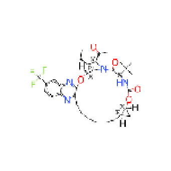 CC[C@@H]1[C@@H]2CN(C(=O)[C@H](C(C)(C)C)NC(=O)O[C@@H]3C[C@H]3CCCCCCc3nc4ccc(C(F)(F)F)cc4nc3O2)[C@@H]1C(C)=O